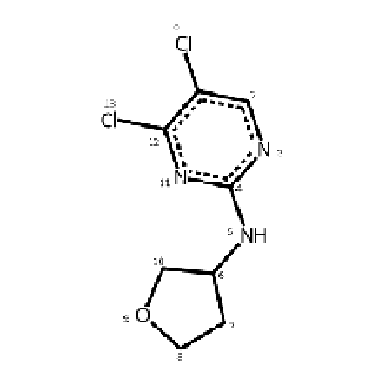 Clc1cnc(NC2CCOC2)nc1Cl